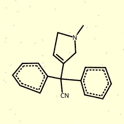 CN1CC=C(C(C#N)(c2ccccc2)c2ccccc2)C1